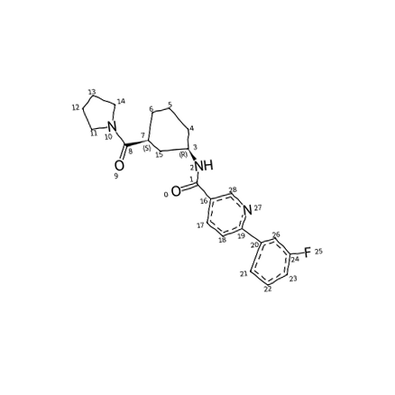 O=C(N[C@@H]1CCC[C@H](C(=O)N2CCCC2)C1)c1ccc(-c2cccc(F)c2)nc1